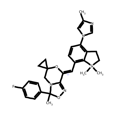 Cc1cn(-c2ccc(/C=C3\OC4(CC4)CN4C3=NOC4(C)c3ccc(F)cc3)c3c2CC[Si]3(C)C)cn1